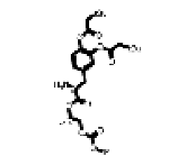 CC(C)OC(=O)OC[C@H](C)OC(=O)[C@@H](N)Cc1ccc(OC(=O)CC(C)(C)C)c(OC(=O)CC(C)(C)C)c1